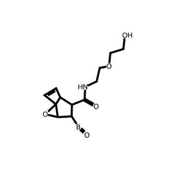 O=BC1C(C(=O)NCCOCCO)C2C=CC23OC13